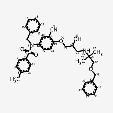 Cc1ccc(S(=O)(=O)N(Cc2ccccc2)c2ccc(OCC(O)CNC(C)(C)COCc3ccccc3)c(C#N)c2)cc1